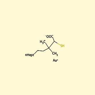 CCCCCCCCCC(C)(C)C(S)C(=O)[O-].[Au+]